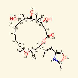 CC(=Cc1coc(C)n1)[C@@H]1C[C@@H]2O[C@]2(C)CCC[C@H](C)[C@H](O)[C@@H](C)C(=O)C(C)(C)[C@@H](O)CC(=O)O1